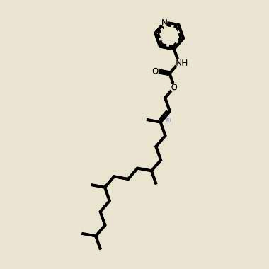 C/C(=C\COC(=O)Nc1ccncc1)CCCC(C)CCCC(C)CCCC(C)C